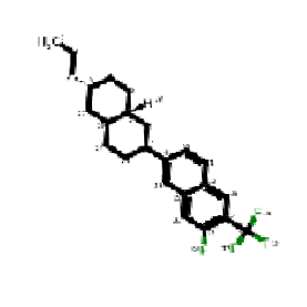 CCC[C@@H]1CC[C@@H]2CC(c3ccc4cc(C(F)(F)F)c(F)cc4c3)CCC2C1